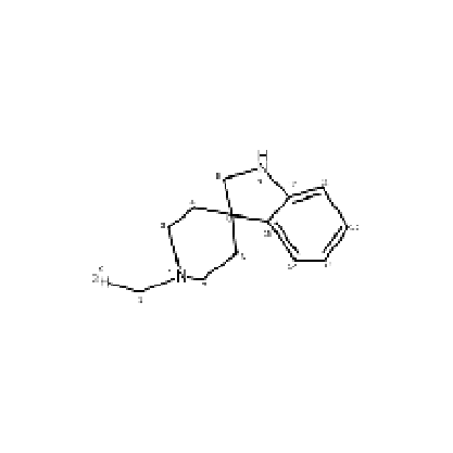 [3H]CN1CCC2(CC1)CNc1ccccc12